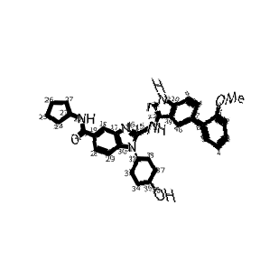 COc1ccccc1-c1ccc2[nH]nc(Nc3nc4cc(C(=O)NC5CCCC5)ccc4n3[C@H]3CC[C@H](O)CC3)c2c1